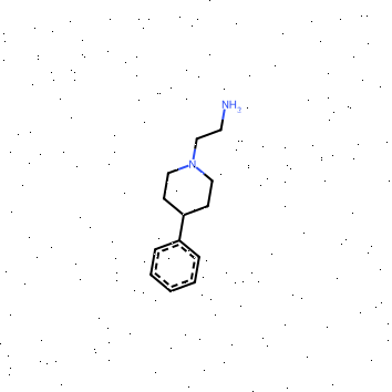 NCCN1CCC(c2ccccc2)CC1